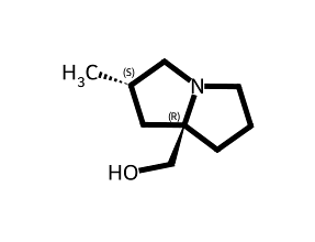 C[C@@H]1CN2CCC[C@]2(CO)C1